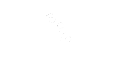 Cc1ccc(NC(=O)C2(c3ccc4c(c3)OCO4)CC2)cc1-c1cnc2[nH]ccc2c1